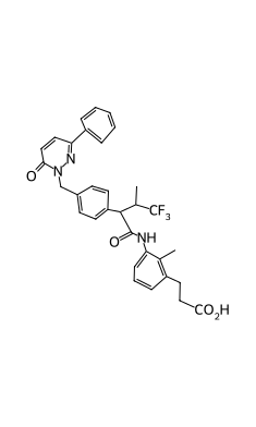 Cc1c(CCC(=O)O)cccc1NC(=O)C(c1ccc(Cn2nc(-c3ccccc3)ccc2=O)cc1)C(C)C(F)(F)F